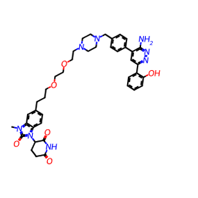 Cn1c(=O)n(C2CCC(=O)NC2=O)c2ccc(CCCOCCOCCN3CCN(Cc4ccc(-c5cc(-c6ccccc6O)nnc5N)cc4)CC3)cc21